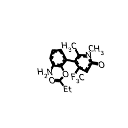 CCC(=O)Oc1c(N)cccc1-c1c(C(F)(F)F)cc(=O)n(C)c1C